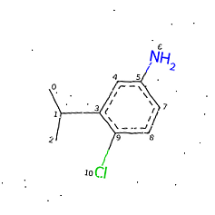 CC(C)c1cc(N)ccc1Cl